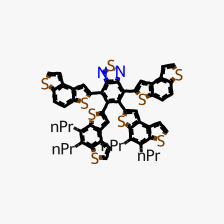 CCCc1c(CCC)c2sc(-c3c(-c4cc5c(s4)c(CCC)c(CCC)c4sccc45)c(-c4cc5c(ccc6sccc65)s4)c4nsnc4c3-c3cc4c(ccc5sccc54)s3)cc2c2ccsc12